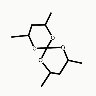 CC1CC(C)OC2(O1)OC(C)CC(C)O2